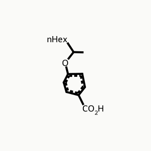 CCCCCCC(C)Oc1ccc(C(=O)O)cc1